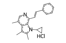 Cc1cnc(C=Cc2ccccc2)c2c1c(C)c(C)n2C1CC1.Cl